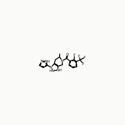 CC1CC2=C(CN1C(=O)c1cccc(C(F)(F)F)c1F)NNN2c1ccn[nH]1